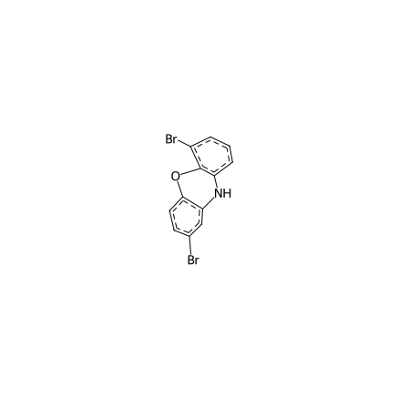 Brc1ccc2c(c1)Nc1cccc(Br)c1O2